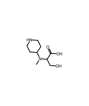 CN(C1CCNCC1)C(CO)C(=O)O